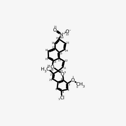 COc1cc(Cl)cc2c1OC1(C=Cc3c(ccc4cc([N+](=O)[O-])ccc34)O1)C(C)=C2